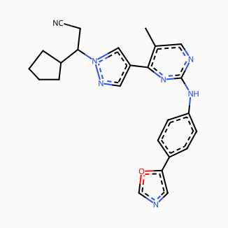 Cc1cnc(Nc2ccc(-c3cnco3)cc2)nc1-c1cnn(C(CC#N)C2CCCC2)c1